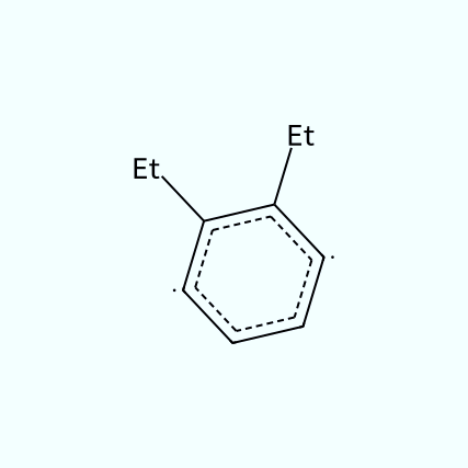 CCc1[c]cc[c]c1CC